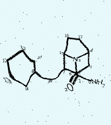 NC(=O)N1C2C[CH]C(CC3CCCCC3)C1CC2